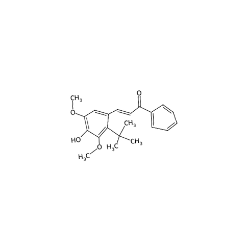 COc1cc(C=CC(=O)c2ccccc2)c(C(C)(C)C)c(OC)c1O